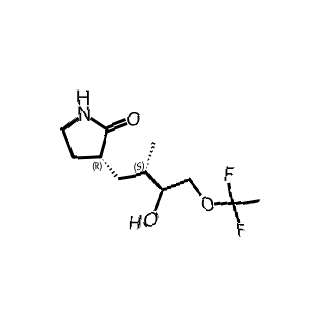 C[C@@H](C[C@@H]1CCNC1=O)C(O)COC(C)(F)F